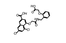 O=C(O)COc1ccccc1CNC(=O)COc1cc(C(=O)O)cc2cc(Cl)cc(Cl)c12